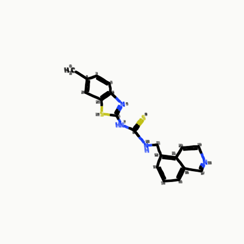 Cc1ccc2nc(NC(=S)NCc3cccc4cnccc34)sc2c1